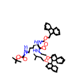 CC(C)CCOc1ccc2ccccc2c1-c1c(OCCNC(=O)[C@@H](CCCCNC(=O)OC(C)(C)C)NC(=O)OCC2c3ccccc3-c3ccccc32)ccc2ccccc12